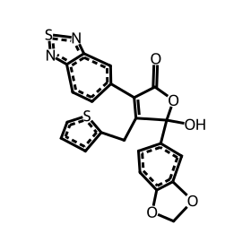 O=C1OC(O)(c2ccc3c(c2)OCO3)C(Cc2cccs2)=C1c1ccc2nsnc2c1